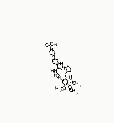 COc1cc(-n2cnc(Nc3nc(N4CCCC4CO)nc4cc(N5CCN(C(=O)O)CC5)ccc34)c2)cc(OC)c1OC